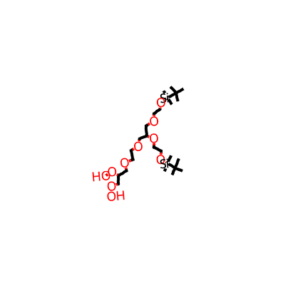 CC(C)(C)[Si](C)(C)OCCOCC(COCCOCC(COO)OO)OCCO[Si](C)(C)C(C)(C)C